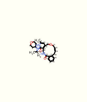 CCN(C1CCOCC1)C1(OC)NC(C)=CC2=C1CNC(=O)c1ccccc1C/C=C\COC2